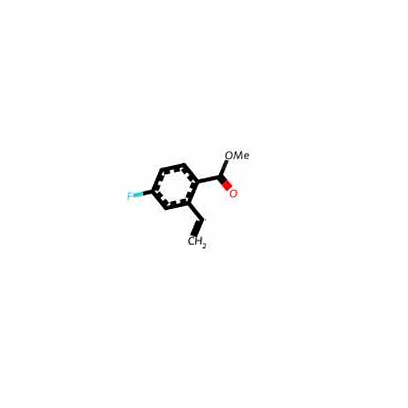 C=[C]c1cc(F)ccc1C(=O)OC